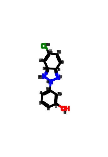 Oc1cccc(-n2nc3ccc(Cl)cc3n2)c1